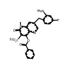 CCOC(=O)c1c(OC(=O)c2ccccc2)c2ncc(Cc3ccc(F)cc3NC)cc2n(C)c1=O